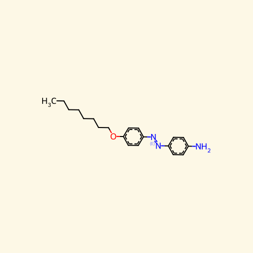 CCCCCCCCOc1ccc(/N=N/c2ccc(N)cc2)cc1